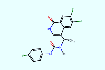 CCN(C(=O)Nc1ccc(F)cc1)[C@H](C)c1c[nH]c(=O)c2cc(F)c(F)cc12